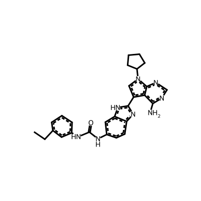 CCc1cccc(NC(=O)Nc2ccc3nc(-c4cn(C5CCCC5)c5ncnc(N)c45)[nH]c3c2)c1